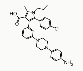 CCCn1c(C)c(C(=O)O)c(-c2cccc(N3CCN(c4ccc(N)cc4)CC3)c2)c1-c1ccc(Cl)cc1